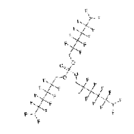 O=P(OCC(F)(F)C(F)(F)C(F)(F)C(F)(F)C(F)F)(OCC(F)(F)C(F)(F)C(F)(F)C(F)(F)C(F)F)OCC(F)(F)C(F)(F)C(F)(F)C(F)(F)C(F)F